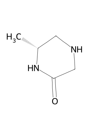 C[C@@H]1CNCC(=O)N1